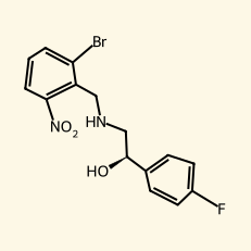 O=[N+]([O-])c1cccc(Br)c1CNC[C@H](O)c1ccc(F)cc1